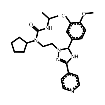 COc1ccc(C2NC(c3ccncc3)=NN2CCN(C(=O)NC(C)C)C2CCCC2)cc1Cl